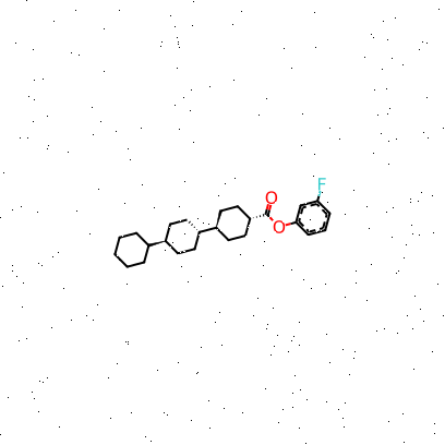 O=C(Oc1cccc(F)c1)[C@H]1CC[C@H]([C@H]2CC[C@H](C3CCCCC3)CC2)CC1